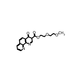 COCCOCCOC(=O)C1C=Nc2c(ccc3cccnc23)C1=O